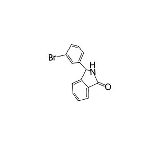 O=C1NC(c2cccc(Br)c2)c2ccccc21